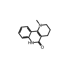 CN1CCCc2c1c1ccccc1[nH]c2=O